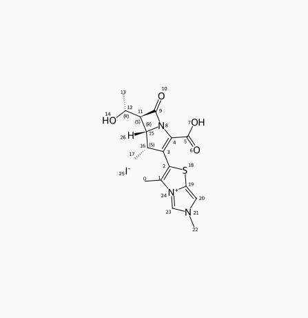 Cc1c(C2=C(C(=O)O)N3C(=O)[C@H]([C@@H](C)O)[C@H]3[C@H]2C)sc2cn(C)c[n+]12.[I-]